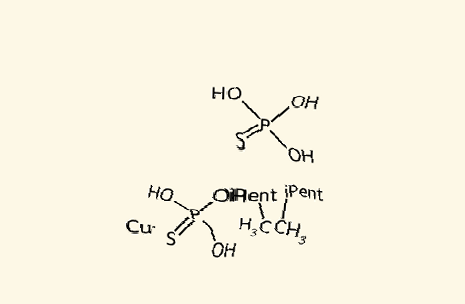 CCCC(C)C.CCCC(C)C.OP(O)(O)=S.OP(O)(O)=S.[Cu]